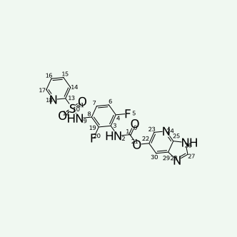 O=C(Nc1c(F)ccc(NS(=O)(=O)c2ccccn2)c1F)Oc1cnc2[nH]cnc2c1